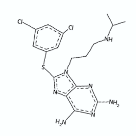 CC(C)NCCCn1c(Sc2cc(Cl)cc(Cl)c2)nc2c(N)nc(N)nc21